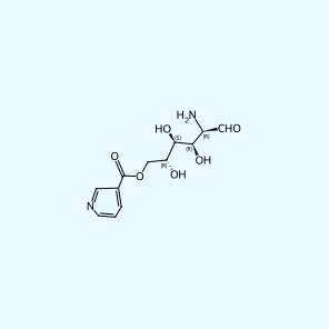 N[C@@H](C=O)[C@@H](O)[C@H](O)[C@H](O)COC(=O)c1cccnc1